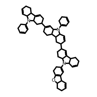 C1=CCCC(N2C3CC(C4=CC5C(CC4)C4CC(C6C=C7C8CCC=CC8N(C8=CC9=C(CC8)OC8CCC=CC98)C7CC6)C=CC4N5C4=CC=CCC4)CC=C3C3CCC=CC32)=C1